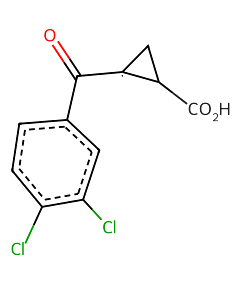 O=C([C]1CC1C(=O)O)c1ccc(Cl)c(Cl)c1